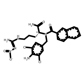 NC(=O)[C@@H](CCCNC(N)=N[N+](=O)[O-])N(Cc1cc(Cl)c(N)c(Cl)c1)C(=O)c1ccc2ccccc2c1